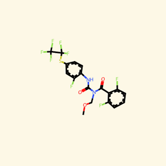 COCN(C(=O)Nc1ccc(SC(F)(F)C(F)(F)F)cc1F)C(=O)c1c(F)cccc1F